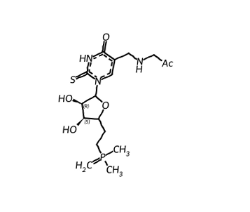 C=P(C)(C)CCC1OC(n2cc(CNCC(C)=O)c(=O)[nH]c2=S)[C@H](O)[C@@H]1O